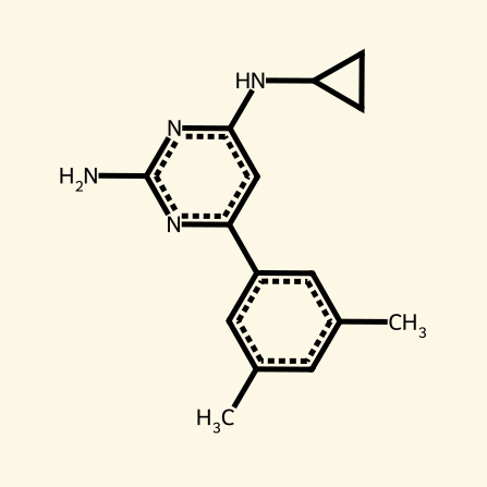 Cc1cc(C)cc(-c2cc(NC3CC3)nc(N)n2)c1